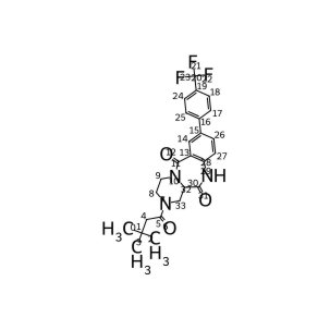 CC(C)(C)CC(=O)N1CCN2C(=O)c3cc(-c4ccc(C(F)(F)F)cc4)ccc3NC(=O)C2C1